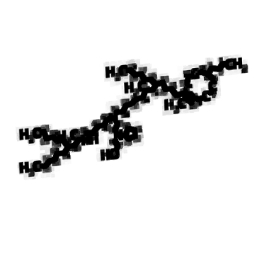 C=CCCC1CCCCCC2(CCCCC1)CC2(C)CCCCCC(CCCCCC)CC(=C)CCCCCCN(CCCCCNC(=C)CC(CCCCCC)CCCCCC)CCN(CCO)C1CCCC1